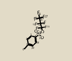 Cc1ccc(S(=O)(=O)OC(F)(F)C(F)(F)C(F)(F)F)cc1